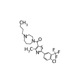 CCCCN1CCCN(C(=O)c2sc(-c3ccc(Cl)c(C(F)(F)F)c3)nc2C)CC1